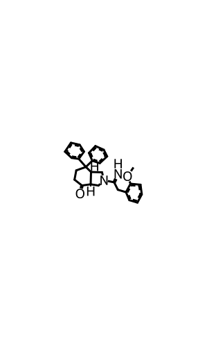 COc1ccccc1CC(=N)N1C[C@H]2C(=O)CCC(c3ccccc3)(c3ccccc3)[C@H]2C1